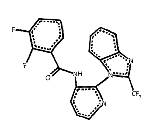 O=C(Nc1cccnc1-n1c(C(F)(F)F)nc2ccccc21)c1cccc(F)c1F